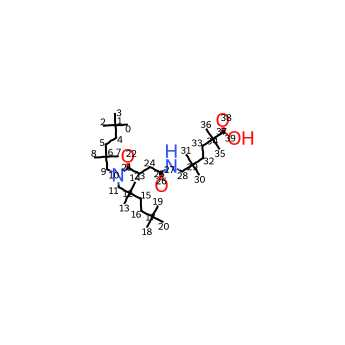 CC(C)(C)CCC(C)(C)CN(CC(C)(C)CCC(C)(C)C)C(=O)CCC(=O)NCC(C)(C)CCC(C)(C)C(=O)O